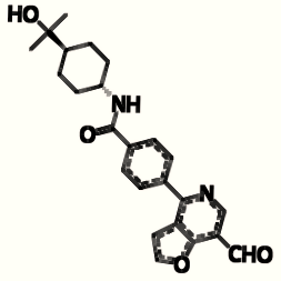 CC(C)(O)[C@H]1CC[C@H](NC(=O)c2ccc(-c3ncc(C=O)c4occc34)cc2)CC1